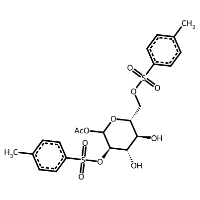 CC(=O)OC1O[C@H](COS(=O)(=O)c2ccc(C)cc2)[C@@H](O)[C@H](O)[C@H]1OS(=O)(=O)c1ccc(C)cc1